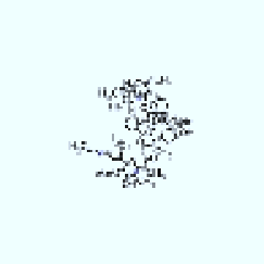 C=C/C=C/[C@@H](C)C[C@@H](C)C(=O)[C@H](OC)[C@H](O)/C(C)=C/[C@@H](C)C(=O)C[C@H](OC(=O)C1CCCCN1C(=O)C(=O)[C@]1(O)O[C@H](C[C@@H](/N=C(\N)NC(=N)N(C)C)/C(C)=C\C)CC[C@H]1C)C(C)C[C@H]1CC[C@@H](O)[C@H](OC)C1